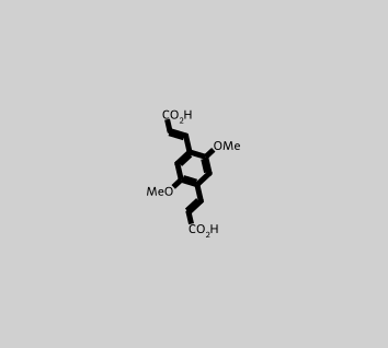 COc1cc(C=CC(=O)O)c(OC)cc1C=CC(=O)O